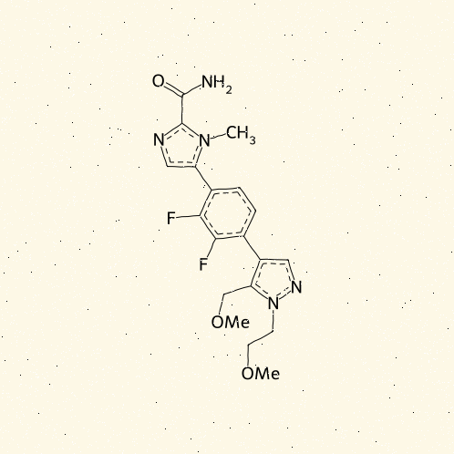 COCCn1ncc(-c2ccc(-c3cnc(C(N)=O)n3C)c(F)c2F)c1COC